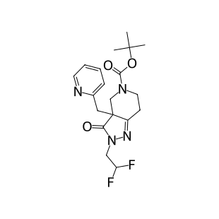 CC(C)(C)OC(=O)N1CCC2=NN(CC(F)F)C(=O)C2(Cc2ccccn2)C1